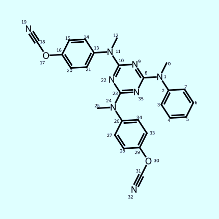 CN(c1ccccc1)c1nc(N(C)c2ccc(OC#N)cc2)nc(N(C)c2ccc(OC#N)cc2)n1